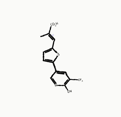 C/C(=C\c1ccc(-c2cnc(C#N)c(C(F)(F)F)c2)s1)C(=O)O